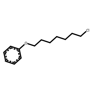 ClCCCCCCCOc1cc[c]cc1